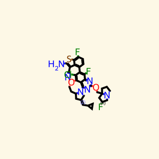 N#Cc1c(N)sc2c(F)ccc(-c3c(Cl)c4c5c(nc(OCC67CCCN6C[C@H](F)C7)nc5c3F)N3C/C(=C\C5CC5)CC3CCO4)c12